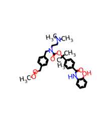 COOCc1ccc(CN(CCN(C)C)C(=O)OC(C)(C)c2ccc(C(=O)Nc3ccccc3O)cc2)cc1